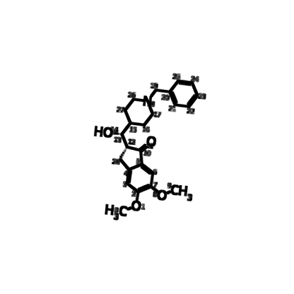 COc1cc2c(cc1OC)C(=O)[C@@H]([C@H](O)C1CCN(Cc3ccccc3)CC1)C2